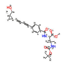 COC(=O)[C@@H](NC(=O)c1ccc(C#CC#C[C@@H]2C[C@@]2(C)CO)cc1)C(C)(C)NC(=O)OC(C)(C)C